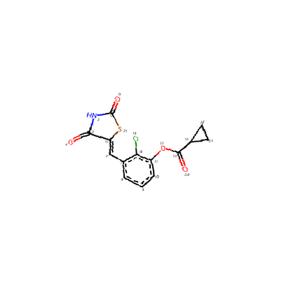 O=C1NC(=O)C(=Cc2cccc(OC(=O)C3CC3)c2Cl)S1